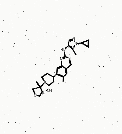 Cc1cc2cnc(Nc3cnn(C4CC4)c3C)nc2cc1C1CCN(C2(C)COC[C@H]2O)CC1